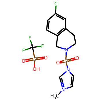 C[n+]1ccn(S(=O)(=O)N2CCc3cc(Cl)ccc3C2)c1.O=S(=O)(O)C(F)(F)F